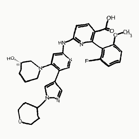 COc1cccc(F)c1-c1nc(Nc2cc(N3CCC[C@H](O)C3)c(-c3cnn(C4CCOCC4)c3)cn2)ccc1C(=O)O